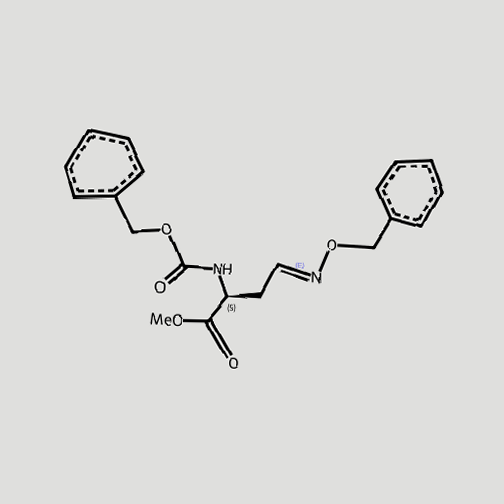 COC(=O)[C@H](C/C=N/OCc1ccccc1)NC(=O)OCc1ccccc1